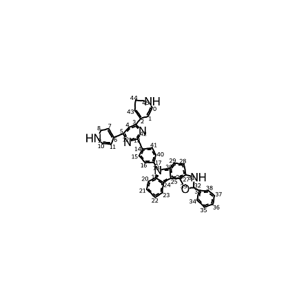 C1=CC(c2cc(C3=CCNC=C3)nc(-c3ccc(-n4c5ccccc5c5c6c(ccc54)NC(c4ccccc4)O6)cc3)n2)=CCN1